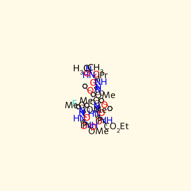 CCOC(=O)CCNC(=O)C[C@H](CC(C)C)NC(=O)c1cc(-c2c(OC)cccc2OCc2ccccc2)n(C2CCCCC2)n1.COC(=O)CNC(=O)C[C@H](CC(C)C)NC(=O)c1cc(-c2c(OC)cccc2OC)n(-c2ccc(F)cc2)n1.COc1cccc(OCc2ccccc2)c1-c1cc(C(=O)N[C@H](CC(=O)NCC(=O)N(C)C)CC(C)C)nn1C1CCCCC1